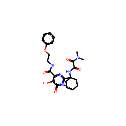 CN(C)C(=O)C(=O)NC12CCC(CC1)Cn1c2nc(C(=O)NCCOc2ccccc2)c(O)c1=O